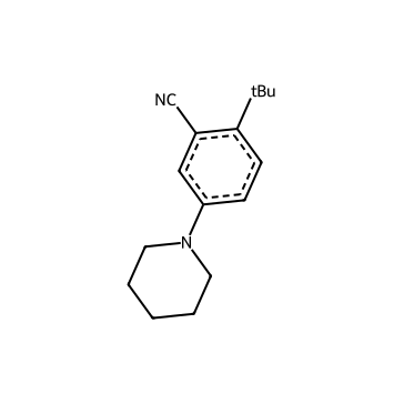 CC(C)(C)c1ccc(N2CCCCC2)cc1C#N